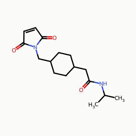 CC(C)NC(=O)CC1CCC(CN2C(=O)C=CC2=O)CC1